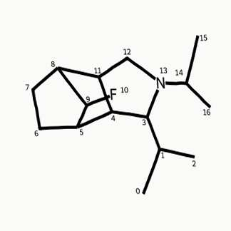 CC(C)C1C2C3CCC(C3F)C2CN1C(C)C